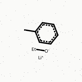 CC[O-].Cc1ccccc1.[Li+]